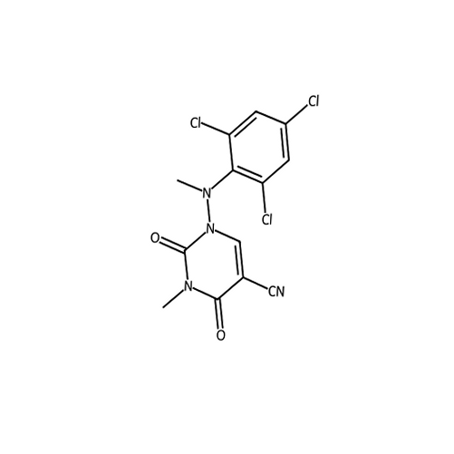 CN(c1c(Cl)cc(Cl)cc1Cl)n1cc(C#N)c(=O)n(C)c1=O